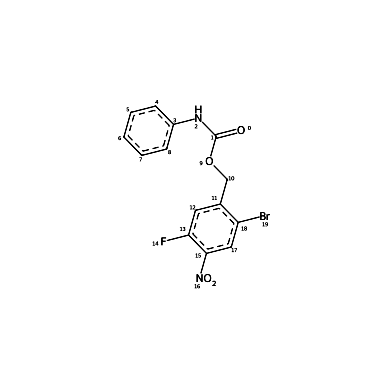 O=C(Nc1ccccc1)OCc1cc(F)c([N+](=O)[O-])cc1Br